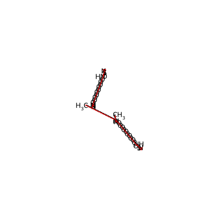 CCCCCCCC(CCCCCCCCCCCCCCCCCCCCCCCCCCCC(CCCCC)c1cn(CCOCCOCCOCCOCCOCCOCCOCCOCCOCCOCCNC(=O)CCSSc2ccccn2)nn1)c1cn(CCOCCOCCOCCOCCOCCOCCOCCOCCOCCOCCNC(=O)CCSSc2ccccn2)nn1